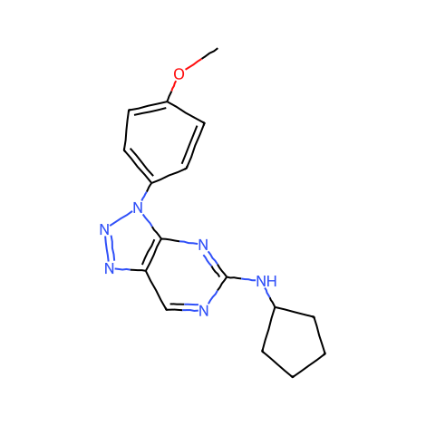 COc1ccc(-n2nnc3cnc(NC4CCCC4)nc32)cc1